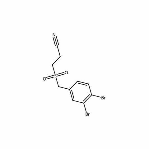 N#CCCS(=O)(=O)Cc1ccc(Br)c(Br)c1